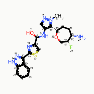 Cn1ncc(NC(O)c2csc(-c3n[nH]c4ccccc34)n2)c1[C@@H]1CC[C@@H](N)[C@H](F)CO1